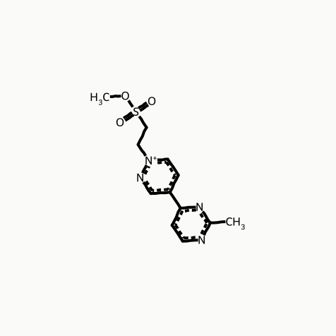 COS(=O)(=O)CC[n+]1ccc(-c2ccnc(C)n2)cn1